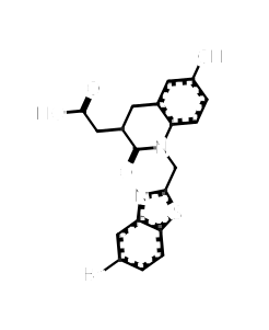 Cc1ccc2c(c1)CC(CC(=O)O)C(=O)N2Cc1nc2cc(Br)ccc2s1